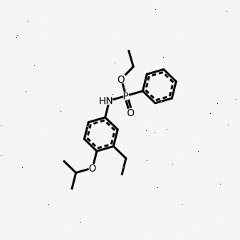 CCOP(=O)(Nc1ccc(OC(C)C)c(CC)c1)c1ccccc1